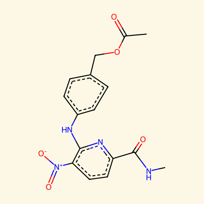 CNC(=O)c1ccc([N+](=O)[O-])c(Nc2ccc(COC(C)=O)cc2)n1